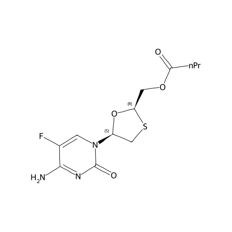 CCCC(=O)OC[C@@H]1O[C@H](n2cc(F)c(N)nc2=O)CS1